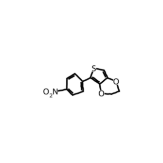 O=[N+]([O-])c1ccc(-c2scc3c2OCCO3)cc1